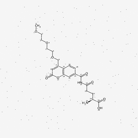 COCCOCCOCc1cc(=O)oc2cc(C(=O)NC(=O)CC[C@H](N)C(=O)O)ccc12